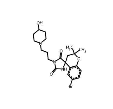 CC1(C)CC2(NC(=O)N(CCCN3CCC(O)CC3)C2=O)c2cc(Br)ccc2O1